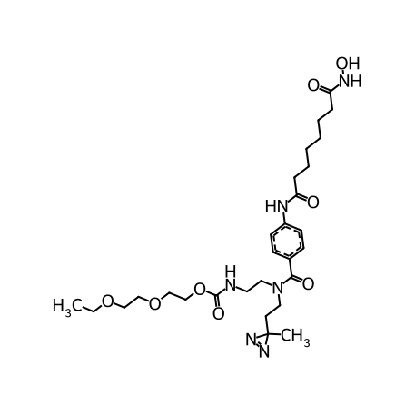 CCOCCOCCOC(=O)NCCN(CCC1(C)N=N1)C(=O)c1ccc(NC(=O)CCCCCCC(=O)NO)cc1